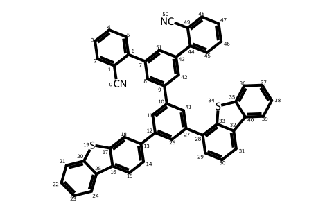 N#Cc1ccccc1-c1cc(-c2cc(-c3ccc4c(c3)sc3ccccc34)cc(-c3cccc4c3sc3ccccc34)c2)cc(-c2ccccc2C#N)c1